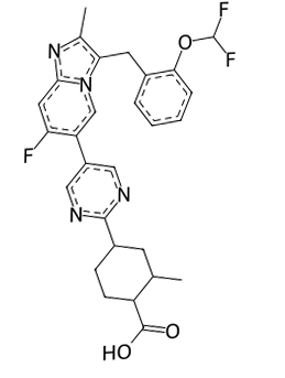 Cc1nc2cc(F)c(-c3cnc(C4CCC(C(=O)O)C(C)C4)nc3)cn2c1Cc1ccccc1OC(F)F